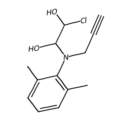 C#CCN(c1c(C)cccc1C)C(O)C(O)Cl